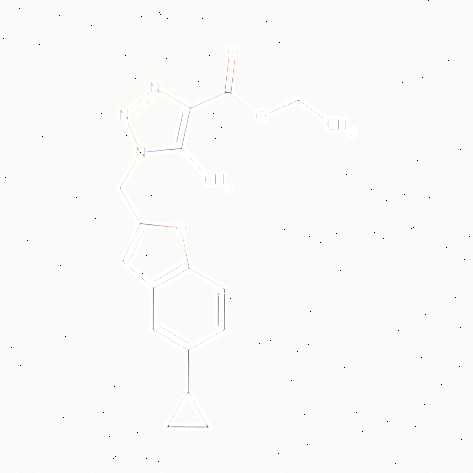 CCOC(=O)c1nnn(Cc2cc3cc(C4CC4)ccc3o2)c1C